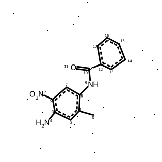 Cc1cc(N)c([N+](=O)[O-])cc1NC(=O)c1ccccc1